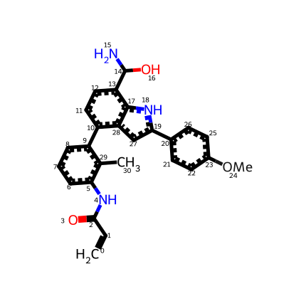 C=CC(=O)Nc1cccc(-c2ccc(C(N)O)c3[nH]c(-c4ccc(OC)cc4)cc23)c1C